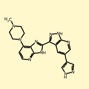 CN1CCN(c2ccnc3[nH]c(-c4n[nH]c5ncc(-c6cn[nH]c6)cc45)nc23)CC1